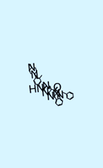 Cc1cc(Nc2ncc3c(=O)n4c(nc3n2)c2ccccc2n4Cc2ccccc2)ccc1N1CCN(C)CC1